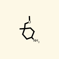 COCC1(C)CCC(N)CC1